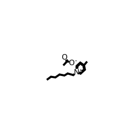 CC(=O)[O-].CCCCCCC[n+]1ccc(C)cc1